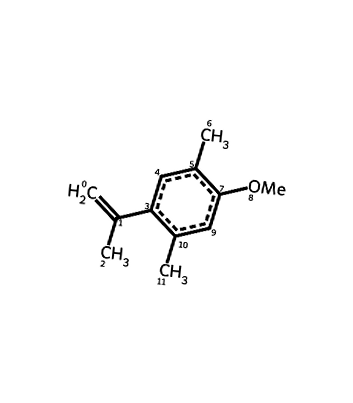 C=C(C)c1cc(C)c(OC)cc1C